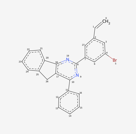 C=Cc1cc(Br)cc(-c2nc(-c3ccccc3)c3c(n2)-c2ccccc2C3)c1